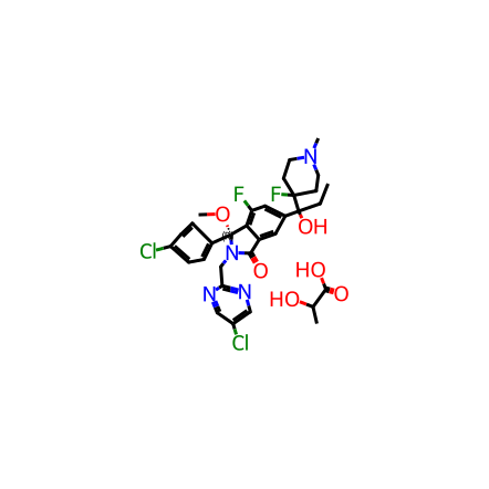 CC(O)C(=O)O.CCC(O)(c1cc(F)c2c(c1)C(=O)N(Cc1ncc(Cl)cn1)[C@@]2(OC)c1ccc(Cl)cc1)C1(F)CCN(C)CC1